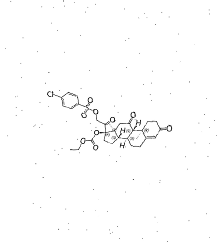 CCOC(=O)O[C@]1(C(=O)COS(=O)(=O)c2ccc(Cl)cc2)CC[C@H]2[C@@H]3CCC4=CC(=O)CC[C@]4(C)[C@H]3C(=O)C[C@@]21C